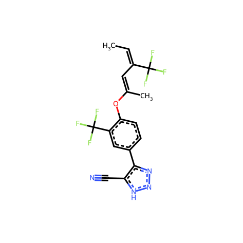 C/C=C(\C=C(/C)Oc1ccc(-c2nn[nH]c2C#N)cc1C(F)(F)F)C(F)(F)F